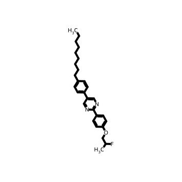 CCCCCCCCCc1ccc(-c2cnc(-c3ccc(OCC(C)F)cc3)nc2)cc1